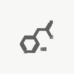 Cl.O=C(Cl)Cc1ccncc1